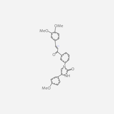 COc1ccc(-c2cn(-c3cccc(C(=O)/C=C/c4ccc(OC)c(OC)c4)c3)c(=O)[nH]2)cc1